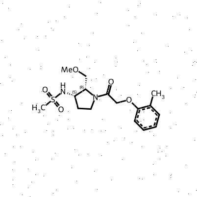 COC[C@H]1[C@@H](NS(C)(=O)=O)CCN1C(=O)COc1ccccc1C